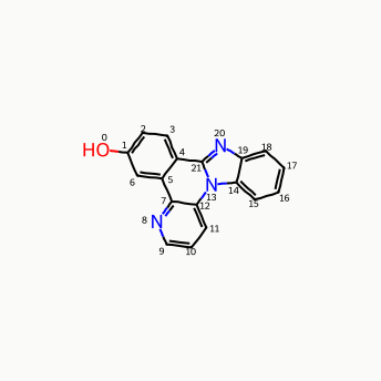 Oc1ccc2c(c1)c1ncccc1n1c3ccccc3nc21